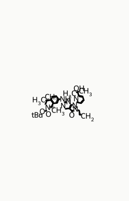 C=CCn1c(=O)c2cnc(Nc3ccc4c(c3)[C@@H](C)N(C(=O)OC(C)(C)C)CC4(C)C)nc2n1-c1cccc(C(C)(C)O)n1